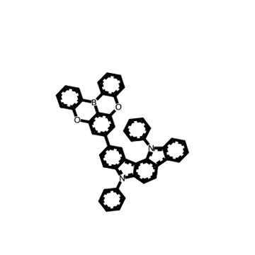 c1ccc(-n2c3ccc(-c4cc5c6c(c4)Oc4ccccc4B6c4ccccc4O5)cc3c3c2ccc2c4ccccc4n(-c4ccccc4)c23)cc1